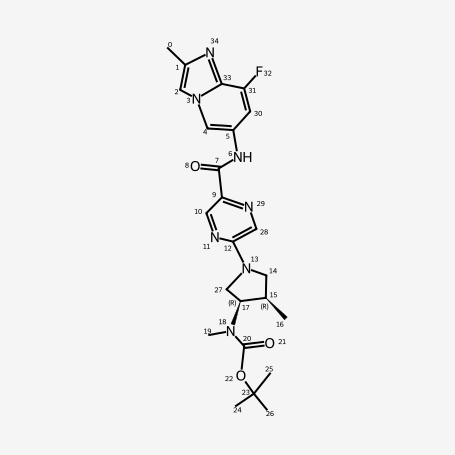 Cc1cn2cc(NC(=O)c3cnc(N4C[C@@H](C)[C@@H](N(C)C(=O)OC(C)(C)C)C4)cn3)cc(F)c2n1